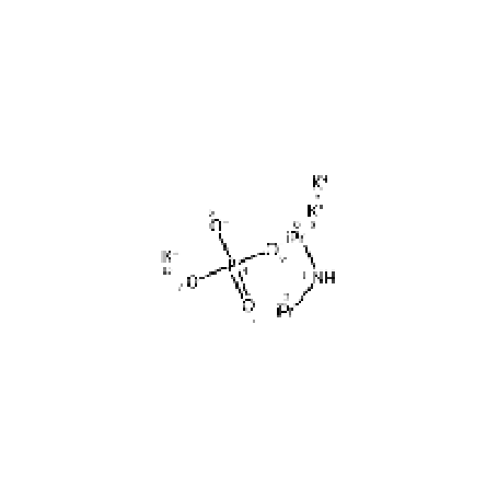 CC(C)NC(C)C.O=P([O-])([O-])[O-].[K+].[K+].[K+]